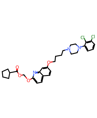 O=C(OCOc1ccc2ccc(OCCCCN3CCN(c4cccc(Cl)c4Cl)CC3)cc2n1)C1CCCC1